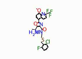 COc1ccc(-c2nc(C(=O)NCCSCc3c(F)cccc3Cl)c([C@H](C)N)o2)c2ccc(C(F)(F)F)nc12